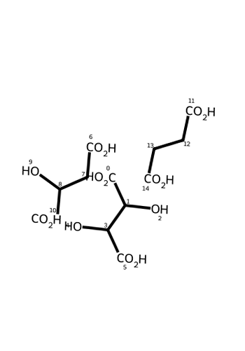 O=C(O)C(O)C(O)C(=O)O.O=C(O)CC(O)C(=O)O.O=C(O)CCC(=O)O